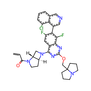 C=CC(=O)N1CC[C@H]2[C@H]1CN2c1nc(OCC23CCCN2CCC3)nc2c(F)c(-c3cncc4cccc(Cl)c34)c(F)cc12